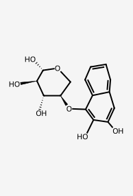 Oc1cc2ccccc2c(O[C@@H]2CO[C@@H](O)[C@H](O)[C@H]2O)c1O